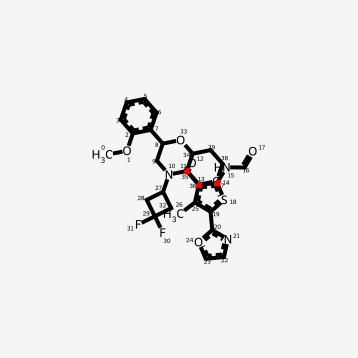 COc1ccccc1C(CN(C(=O)c1c(NC=O)sc(-c2ncco2)c1C)C1CC(F)(F)C1)OC1CCOCC1